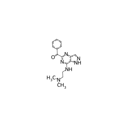 CN(C)CCNc1nc(C(=O)c2ccccc2)nc2cn[nH]c12